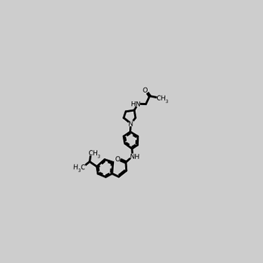 CC(=O)CNC1CCN(c2ccc(NC(=O)/C=C\c3ccc(C(C)C)cc3)cc2)C1